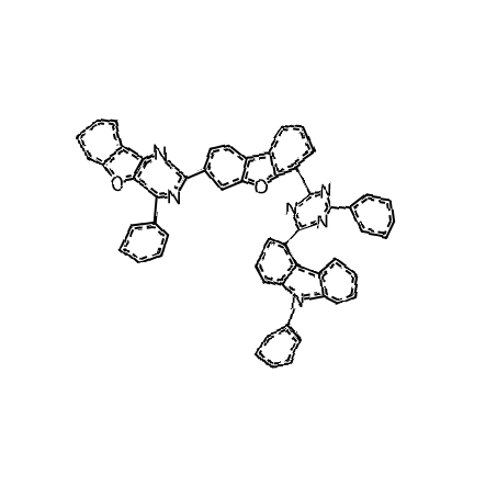 c1ccc(-c2nc(-c3cccc4c3oc3cc(-c5nc(-c6ccccc6)c6oc7ccccc7c6n5)ccc34)nc(-c3cccc4c3c3ccccc3n4-c3ccccc3)n2)cc1